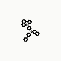 c1ccc(-c2ccc(N(c3ccc(N4c5ccccc5-c5cccc6cccc4c56)cc3)c3ccc4ccccc4c3)cc2)cc1